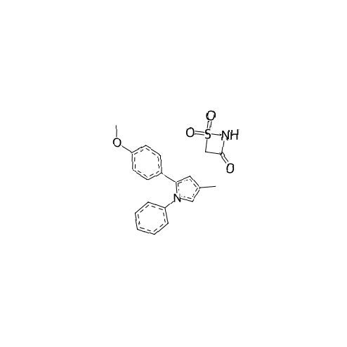 COc1ccc(-c2cc(C)cn2-c2ccccc2)cc1.O=C1CS(=O)(=O)N1